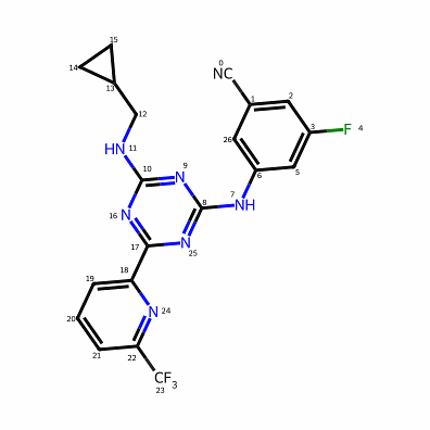 N#Cc1cc(F)cc(Nc2nc(NCC3CC3)nc(-c3cccc(C(F)(F)F)n3)n2)c1